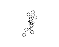 C1=CC(N(c2cccc(-c3ccccc3)c2)c2ccc3c(c2)Oc2cc4c(cc2O3)C2(C3=C(C=CCC3)c3ccccc32)c2ccccc2-4)=CCC1